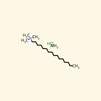 CCCCCCCCCCCCCCCC[N+](C)(C)C.Cl.[AlH3]